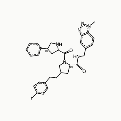 Cn1nnc2cc(CNC(=O)[C@@H]3CC(CCc4ccc(I)cc4)CN3C(=O)C3C[C@@H](c4ccccc4)CN3)ccc21